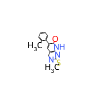 CSc1ncc2cc(-c3ccccc3C)c(=O)[nH]c2n1